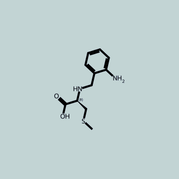 CSC[C@H](NCc1ccccc1N)C(=O)O